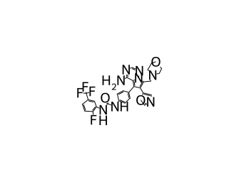 Nc1ncnn2c(CN3CCOCC3)c(-c3cnco3)c(-c3ccc(NC(=O)Nc4cc(C(F)(F)F)ccc4F)cc3)c12